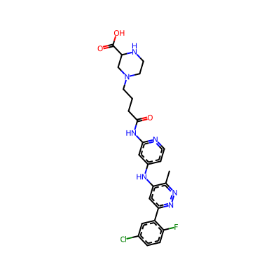 Cc1nnc(-c2cc(Cl)ccc2F)cc1Nc1ccnc(NC(=O)CCCN2CCNC(C(=O)O)C2)c1